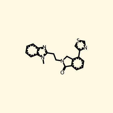 Cn1c(CCN2Cc3c(cccc3-c3cscn3)C2=O)nc2ccccc21